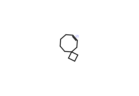 C1=C\CC2(CCCC/1)CCC2